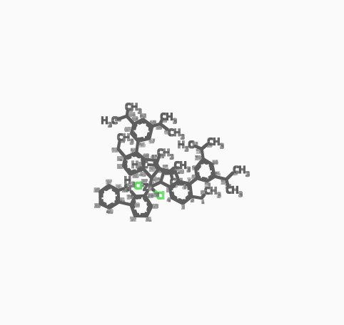 CCc1ccc2c(c1-c1cc(C(C)C)cc(C(C)C)c1)C=C(C(C)C)[CH]2[Zr]([Cl])([Cl])([c]1cccc2c1[SiH2]c1ccccc1-2)[CH]1C(C(C)C)=Cc2c1ccc(CC)c2-c1cc(C(C)C)cc(C(C)C)c1